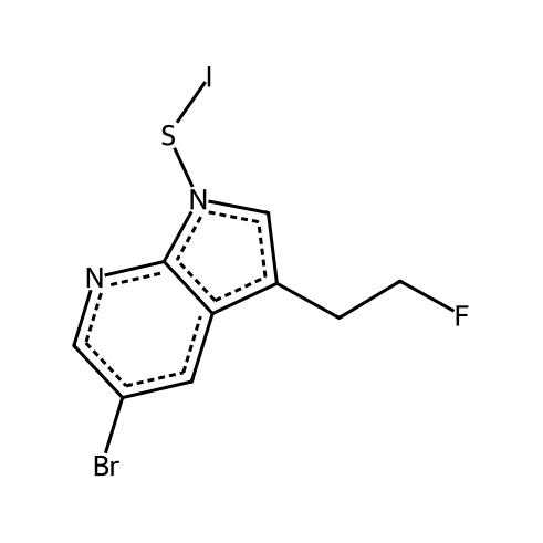 FCCc1cn(SI)c2ncc(Br)cc12